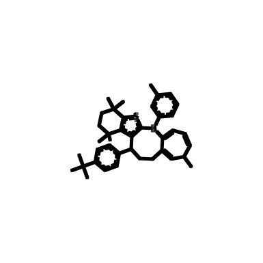 Cc1cccc(B2C3=CC=CC(C)C=C3CCC(c3ccc(C(C)(C)C)cc3)c3c2sc2c3C(C)(C)CCC2(C)C)c1